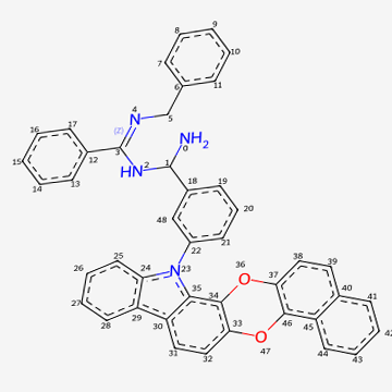 NC(N/C(=N\Cc1ccccc1)c1ccccc1)c1cccc(-n2c3ccccc3c3ccc4c(c32)Oc2ccc3ccccc3c2O4)c1